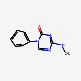 CNc1ncn(-c2ccccc2)c(=O)n1